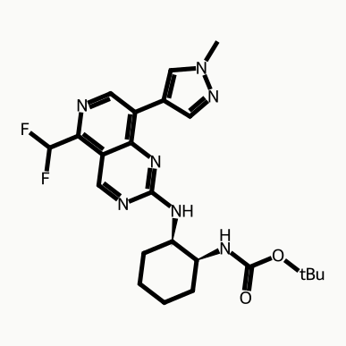 Cn1cc(-c2cnc(C(F)F)c3cnc(N[C@@H]4CCCC[C@@H]4NC(=O)OC(C)(C)C)nc23)cn1